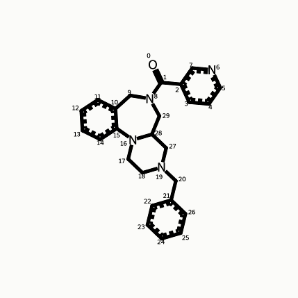 O=C(c1cccnc1)N1Cc2ccccc2N2CCN(Cc3ccccc3)CC2C1